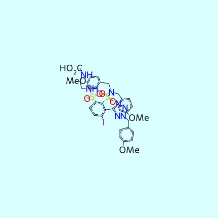 COc1ccc(CN(Cc2ccc(OC)cc2)S(=O)(=O)c2c(S(=O)(=O)NCC(C)NC(=O)O)ccc(I)c2-c2nnn(Cc3ccc(OC)cc3)n2)cc1